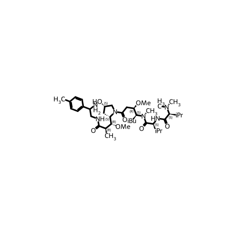 CCC(C)[C@@H]([C@@H](CC(=O)N1C[C@@H](O)C[C@H]1[C@H](OC)[C@@H](C)C(=O)NCC(N)c1ccc(C)cc1)OC)N(C)C(=O)[C@@H](NC(=O)[C@H](C(C)C)N(C)C)C(C)C